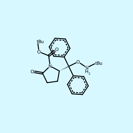 CC(C)(C)OC(=O)N1C(=O)CC[C@H]1C(O[SiH2]C(C)(C)C)(c1ccccc1)c1ccccc1